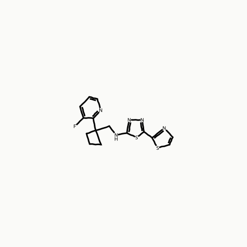 Fc1cccnc1C1(CNc2nnc(-c3nccs3)s2)CCC1